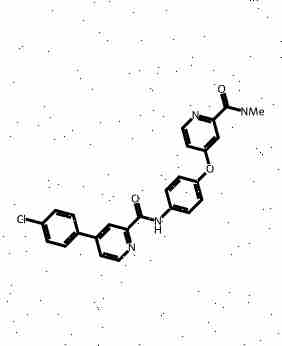 CNC(=O)c1cc(Oc2ccc(NC(=O)c3cc(-c4ccc(Cl)cc4)ccn3)cc2)ccn1